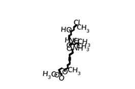 COC1=CC[C@@H]([C@@H](C)/C=C/C#C/C=C/C(=O)N[C@H](C(=O)N/C=C\C[C@@H](O)C/C=C(\C)Cl)C(C)(C)C)OC1=O